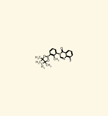 Cc1c(B2OC(C)(C)C(C)(C)O2)cccc1-n1cnc2c(F)cccc2c1=O